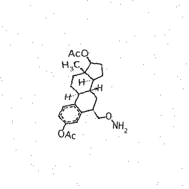 CC(=O)Oc1ccc2c(c1)[C@H](CON)C[C@@H]1[C@@H]2CC[C@]2(C)C(OC(C)=O)CC[C@@H]12